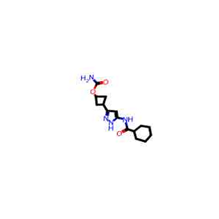 NC(=O)OC1CC(c2cc(NC(=O)C3CCCCC3)[nH]n2)C1